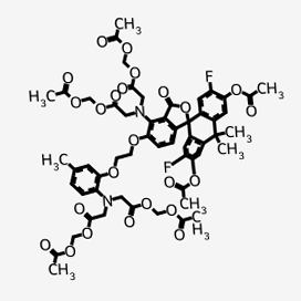 CC(=O)OCOC(=O)CN(CC(=O)OCOC(C)=O)c1ccc(C)cc1OCCOc1ccc2c(c1N(CC(=O)OCOC(C)=O)CC(=O)OCOC(C)=O)C(=O)OC21c2cc(F)c(OC(C)=O)cc2C(C)(C)c2cc(OC(C)=O)c(F)cc21